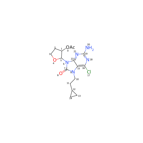 CC(=O)OC1CCOC1n1c(=O)n(CCC2CC2)c2c(Cl)nc(N)nc21